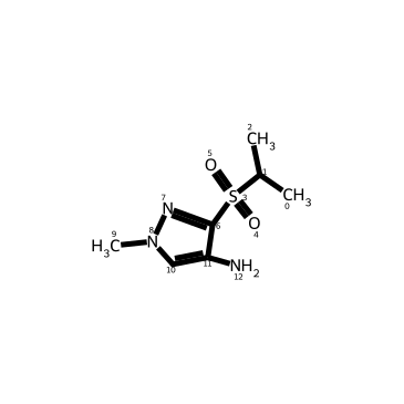 CC(C)S(=O)(=O)c1nn(C)cc1N